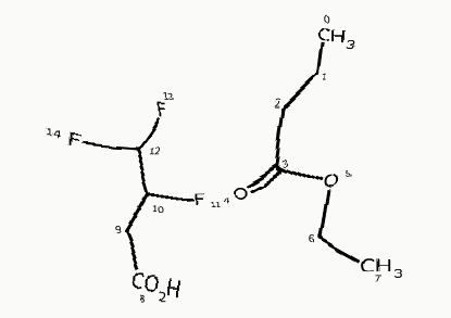 CCCC(=O)OCC.O=C(O)CC(F)C(F)F